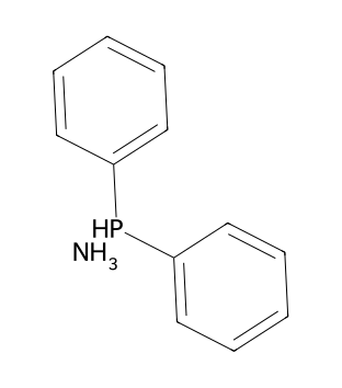 N.c1ccc(Pc2ccccc2)cc1